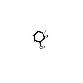 Cl.OC1CCCOC1